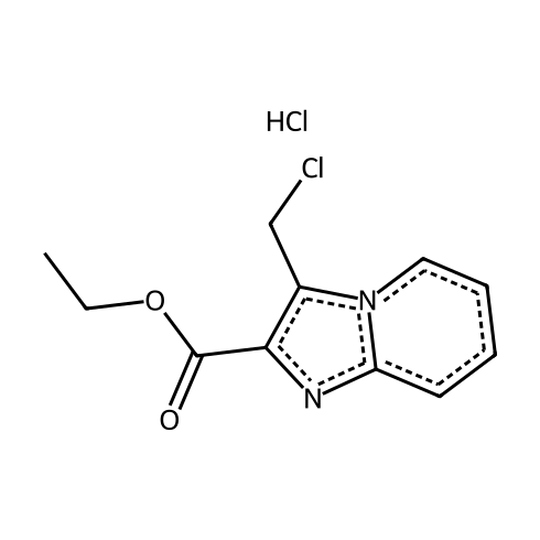 CCOC(=O)c1nc2ccccn2c1CCl.Cl